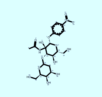 CC(=O)N[C@]1(O)[C@H](Oc2ccc([N+](=O)[O-])cc2)O[C@H](CO)[C@@H](O)[C@@H]1OC1C[C@@H](O)[C@@H](O)[C@@H](CO)O1